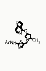 CC(=O)Nc1ncc(CN2CC(Oc3nccc4sccc34)CC2C)s1